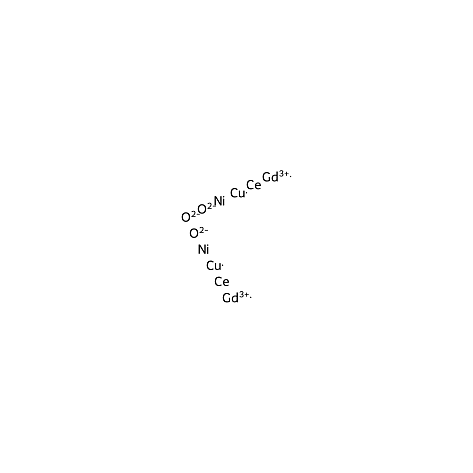 [Ce].[Ce].[Cu].[Cu].[Gd+3].[Gd+3].[Ni].[Ni].[O-2].[O-2].[O-2]